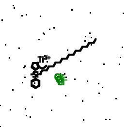 CCCCCCCCCCCCCCCCCC[Si](C)(C1=CC[C]([Ti+3])=C1CC)c1ccccc1.[Cl-].[Cl-].[Cl-]